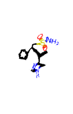 C=C(c1c[nH]cn1)C(CS(N)(=O)=O)c1ccccc1